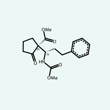 COC(=O)N[C@@H](CCc1ccccc1)[C@]1(C(=O)OC)CCCC1=O